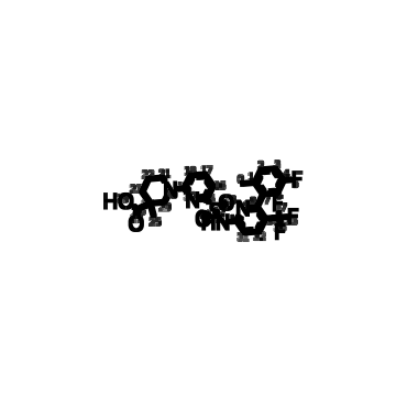 Cc1ccc(F)cc1-c1nc(NS(=O)(=O)c2cccc(N3CCCC(C)(C(=O)O)C3)n2)ccc1C(F)(F)F